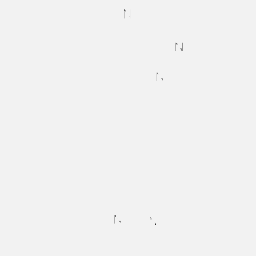 Cc1ncnn2cc(-c3cnn(C)c3)cc12